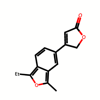 CCc1oc(C)c2cc(C3=CC(=O)OC3)ccc12